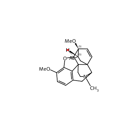 COc1ccc2c3c1O[C@@H]1C34CCN(C)C(C2)C42C=C[C@]1(OC)[C@@H](C(C)=O)C2